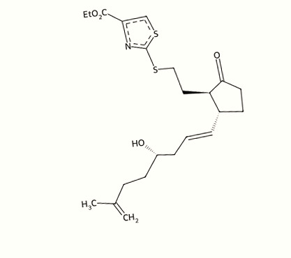 C=C(C)CC[C@H](O)C/C=C/[C@H]1CCC(=O)[C@@H]1CCSc1nc(C(=O)OCC)cs1